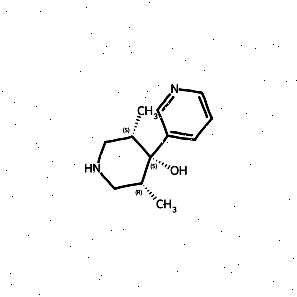 C[C@@H]1CNC[C@H](C)[C@@]1(O)c1cccnc1